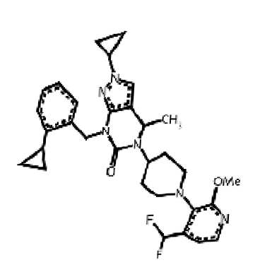 COc1nccc(C(F)F)c1N1CCC(N2C(=O)N(Cc3ccccc3C3CC3)c3nn(C4CC4)cc3C2C)CC1